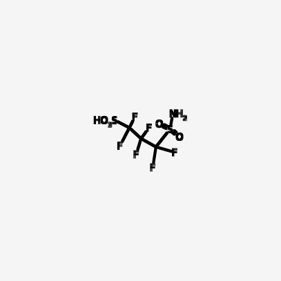 NS(=O)(=O)C(F)(F)C(F)(F)C(F)(F)S(=O)(=O)O